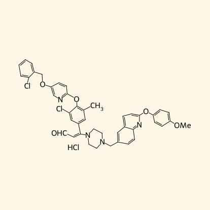 COc1ccc(Oc2ccc3cc(CN4CCN(/C(=C/C=O)c5cc(C)c(Oc6ccc(OCc7ccccc7Cl)cn6)c(Cl)c5)CC4)ccc3n2)cc1.Cl